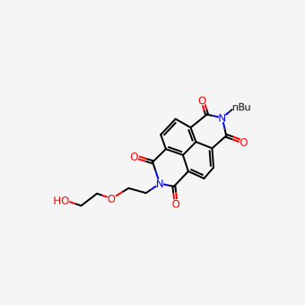 CCCCN1C(=O)c2ccc3c4c(ccc(c24)C1=O)C(=O)N(CCOCCO)C3=O